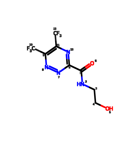 O=C(NCCO)c1nnc(C(F)(F)F)c(C(F)(F)F)n1